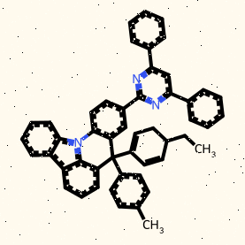 CCC1C=CC(C2(c3ccc(C)cc3)c3cc(-c4nc(-c5ccccc5)cc(-c5ccccc5)n4)ccc3-n3c4ccccc4c4cccc2c43)=CC1